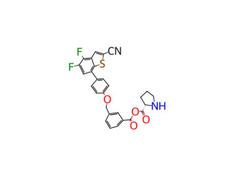 N#Cc1cc2c(F)c(F)cc(-c3ccc(OCc4cccc(C(=O)OC(=O)[C@@H]5CCCN5)c4)cc3)c2s1